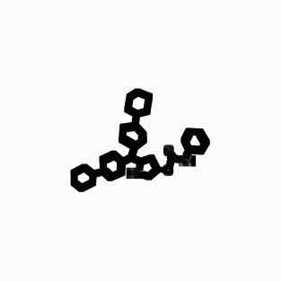 O=C(Nc1ccccc1)O[C@H]1CNC(C(c2ccc(C3CCCCC3)cc2)c2ccc(C3CCCCC3)cc2)C1